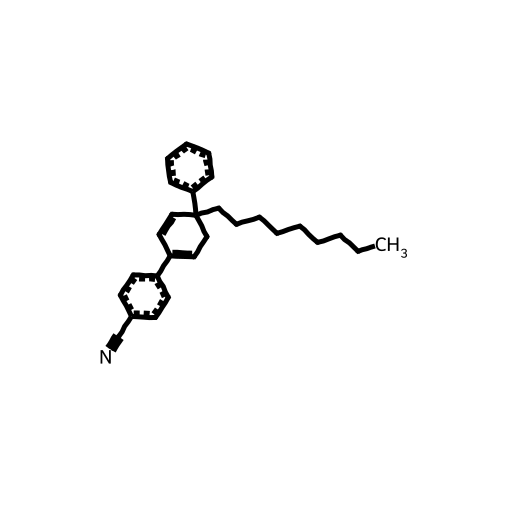 CCCCCCCCCC1(c2ccccc2)C=CC(c2ccc(C#N)cc2)=CC1